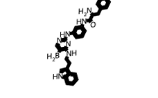 Bc1cnc(Nc2cccc(NC(=O)C(N)Cc3ccccc3)c2)nc1NCCc1c[nH]c2ccccc12